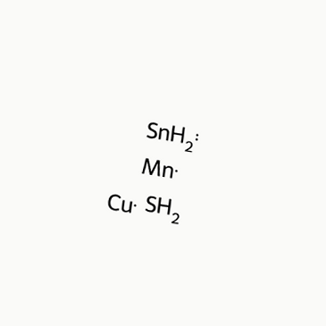 S.[Cu].[Mn].[SnH2]